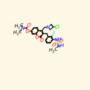 CNS(=O)(=O)Nc1cccc(Cc2c(CN3CC(Cl)C3)c3ccc(OC(=O)N(C)C)cc3oc2=O)c1F